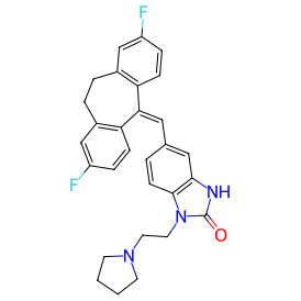 O=c1[nH]c2cc(C=C3c4ccc(F)cc4CCc4cc(F)ccc43)ccc2n1CCN1CCCC1